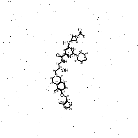 CC(=O)N1CC(Nc2cc(C(=O)NC[C@H](O)CN3CCc4c(ccc(OCc5ocnc5C)c4C)C3)nc(N3CCOCC3)n2)C1